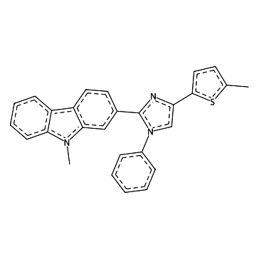 Cc1ccc(-c2cn(-c3ccccc3)c(-c3ccc4c5ccccc5n(C)c4c3)n2)s1